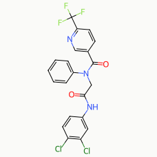 O=C(CN(C(=O)c1ccc(C(F)(F)F)nc1)c1ccccc1)Nc1ccc(Cl)c(Cl)c1